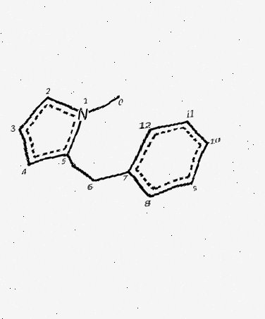 Cn1cccc1[CH]c1ccccc1